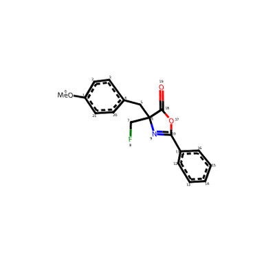 COc1ccc(CC2(CF)N=C(c3ccccc3)OC2=O)cc1